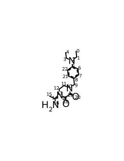 CCN(CC)c1ccc(CN2CCN(C(C)N)C(=O)C2=O)cc1